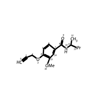 C#CCOc1ccc(C(=O)NC(C)C(C)C)cc1OC